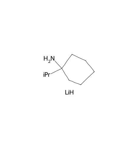 CC(C)C1(N)CCCCC1.[LiH]